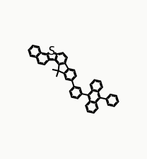 CC1(C)c2cc(-c3cccc(-c4c5ccccc5c(-c5ccccc5)c5ccccc45)c3)ccc2-c2ccc3sc4c5ccccc5ccc4c3c21